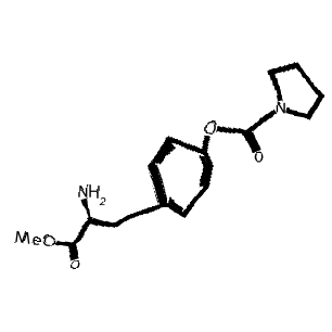 COC(=O)[C@@H](N)Cc1ccc(OC(=O)N2CCCC2)cc1